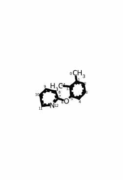 Cc1cccc(Oc2ccccn2)c1C